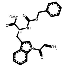 C=CC(=O)n1cc(C[C@H](NC(=O)OCc2ccccc2)C(=O)OC)c2ccccc21